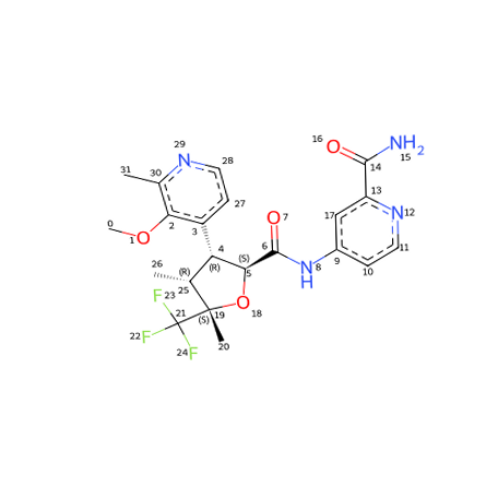 COc1c([C@@H]2[C@@H](C(=O)Nc3ccnc(C(N)=O)c3)O[C@](C)(C(F)(F)F)[C@@H]2C)ccnc1C